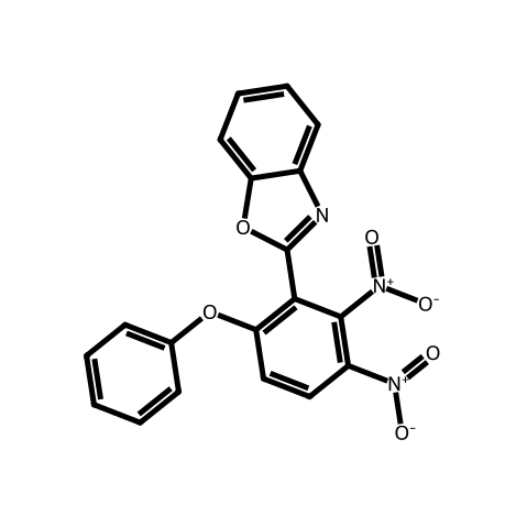 O=[N+]([O-])c1ccc(Oc2ccccc2)c(-c2nc3ccccc3o2)c1[N+](=O)[O-]